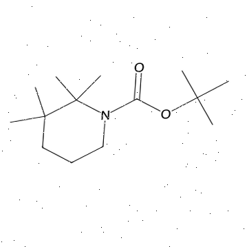 CC(C)(C)OC(=O)N1CCCC(C)(C)C1(C)C